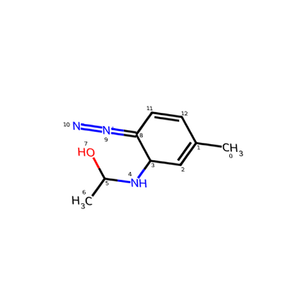 CC1=CC(NC(C)O)C(=[N+]=[N-])C=C1